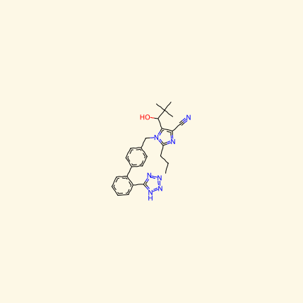 CCCc1nc(C#N)c(C(O)C(C)(C)C)n1Cc1ccc(-c2ccccc2-c2nnn[nH]2)cc1